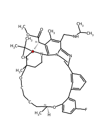 COC(=O)[C@@H](OC(C)(C)C)c1c(C)c(CNC(C)C)c2nc3cn2c1N1CCC(C)(CC1)OCCCC[C@H](C)Oc1ccc(F)cc1-c1cccc-3c1